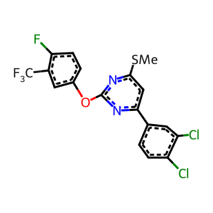 CSc1cc(-c2ccc(Cl)c(Cl)c2)nc(Oc2ccc(F)c(C(F)(F)F)c2)n1